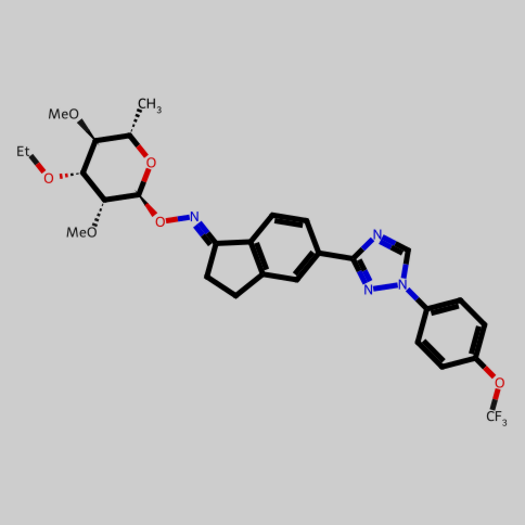 CCO[C@@H]1[C@@H](OC)[C@H](C)O[C@@H](ON=C2CCc3cc(-c4ncn(-c5ccc(OC(F)(F)F)cc5)n4)ccc32)[C@@H]1OC